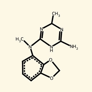 CC1N=C(N)NC(N(C)c2cccc3c2OCO3)=N1